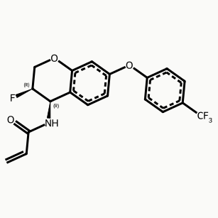 C=CC(=O)N[C@@H]1c2ccc(Oc3ccc(C(F)(F)F)cc3)cc2OC[C@@H]1F